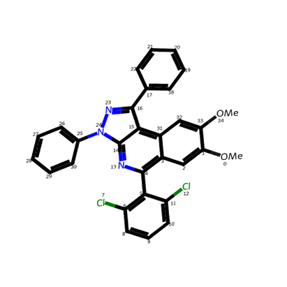 COc1cc2c(-c3c(Cl)cccc3Cl)nc3c(c(-c4ccccc4)nn3-c3ccccc3)c2cc1OC